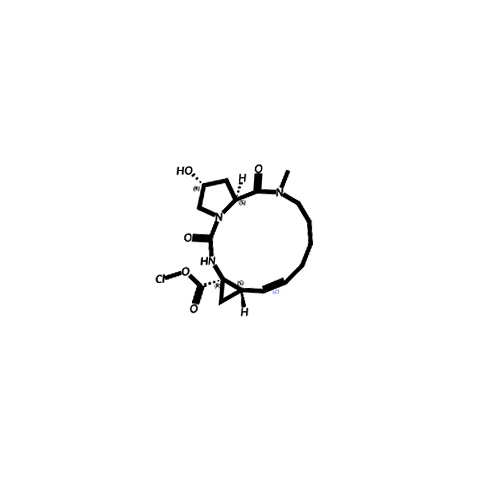 CN1CCCC/C=C\[C@@H]2C[C@@]2(C(=O)OCl)NC(=O)N2C[C@H](O)C[C@H]2C1=O